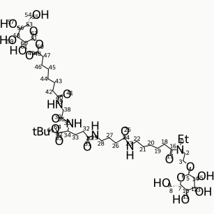 CCN(CCO[C@@H]1O[C@@H](CO)[C@H](O)[C@@H](O)[C@H]1O)C(=O)CCCCCNC(=O)CCCNC(=O)CCC(NC(=O)CNC(=O)CCCCCCC(=O)O[C@@H]1O[C@@H](CO)[C@H](O)[C@@H](O)[C@H]1O)C(=O)OC(C)(C)C